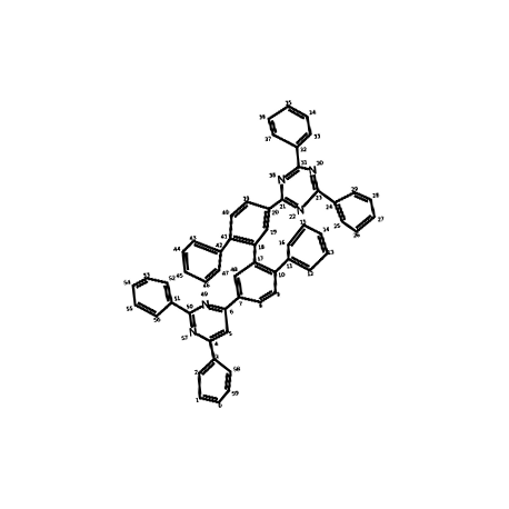 c1ccc(-c2cc(-c3ccc(-c4ccccc4)c(-c4cc(-c5nc(-c6ccccc6)nc(-c6ccccc6)n5)ccc4-c4ccccc4)c3)nc(-c3ccccc3)n2)cc1